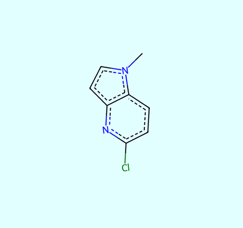 Cn1ccc2nc(Cl)ccc21